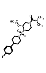 CN(C)C(=O)N1CCN(S(=O)(=O)N2CCC(c3ccc(F)cc3)CC2)[C@H](OC(=O)O)C1